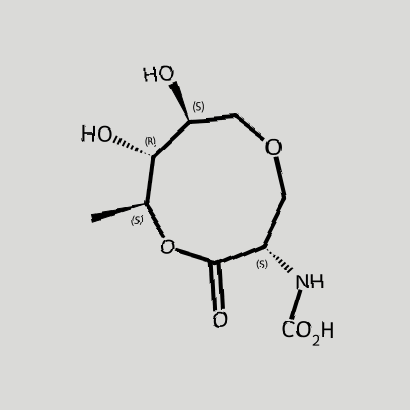 C[C@@H]1OC(=O)[C@@H](NC(=O)O)COC[C@H](O)[C@H]1O